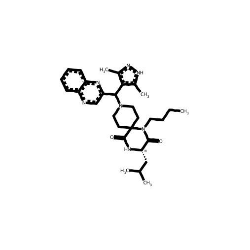 CCCCN1C(=O)[C@H](CC(C)C)NC(=O)C12CCN(C(c1cnc3ccccc3n1)c1c(C)n[nH]c1C)CC2